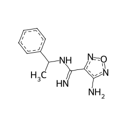 CC(NC(=N)c1nonc1N)c1ccccc1